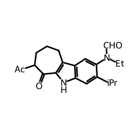 CCN(C=O)c1cc2c3c([nH]c2cc1C(C)C)C(=O)C(C(C)=O)CCC3